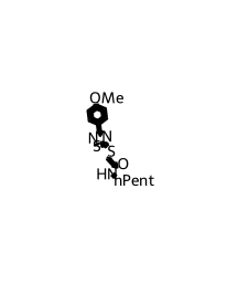 CCCCCNC(=O)CSc1nc(-c2ccc(OC)cc2)ns1